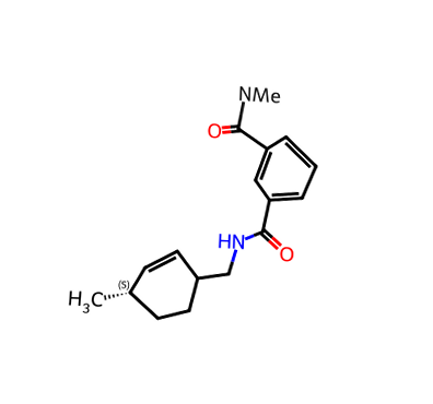 CNC(=O)c1cccc(C(=O)NCC2C=C[C@@H](C)CC2)c1